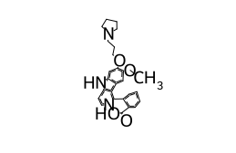 COc1cc2c(cc1OCCCN1CCCC1)[nH]c1ccnc(-c3ccccc3C(=O)O)c12